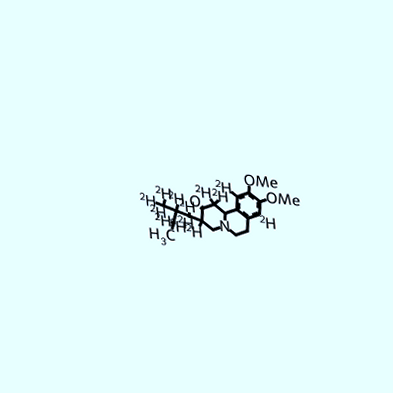 [2H]c1c2c(c([2H])c(OC)c1OC)C1N(CC2)CC([2H])(C([2H])([2H])C([2H])(C([2H])([2H])[2H])C([2H])([2H])C)C(=O)C1([2H])[2H]